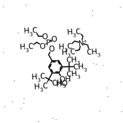 CCOP(=O)(OCC)OCc1cc(C(C)(C)C)c(O)c(C(C)(C)C)c1.CC[N+](CC)(CC)CC.[OH-]